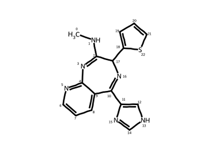 CNC1=Nc2ncccc2C(c2c[nH]cn2)=NC1c1cccs1